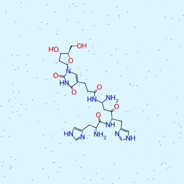 NC(CC(=O)C(Cc1c[nH]cn1)NC(=O)C(N)Cc1c[nH]cn1)NC(=O)CCc1cn([C@H]2C[C@H](O)[C@@H](CO)O2)c(=O)[nH]c1=O